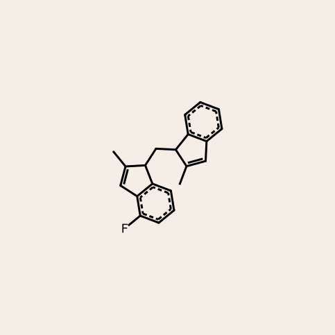 CC1=Cc2ccccc2C1CC1C(C)=Cc2c(F)cccc21